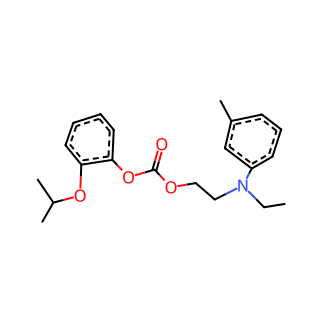 CCN(CCOC(=O)Oc1ccccc1OC(C)C)c1cccc(C)c1